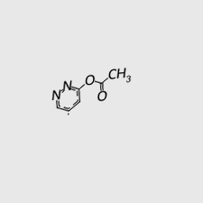 CC(=O)Oc1c[c]cnn1